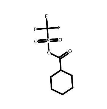 O=C(OS(=O)(=O)C(F)(F)F)C1CCCCC1